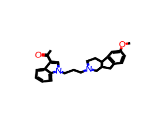 COc1ccc2c(c1)C1CCN(CCCn3cc(C(C)=O)c4ccccc43)CC1C2